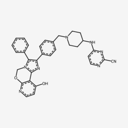 N#Cc1nccc(NC2CCN(Cc3ccc(-c4nc5n(c4-c4ccccc4)COc4nccc(O)c4-5)cc3)CC2)n1